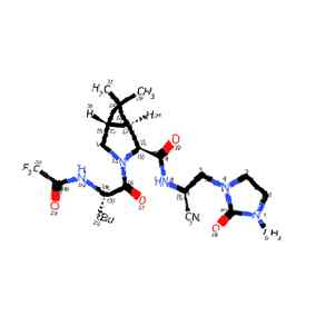 CN1CCN(C[C@@H](C#N)NC(=O)[C@@H]2[C@H]3[C@H](CN2C(=O)[C@@H](NC(=O)C(F)(F)F)C(C)(C)C)C3(C)C)C1=O